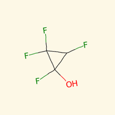 OC1(F)C(F)C1(F)F